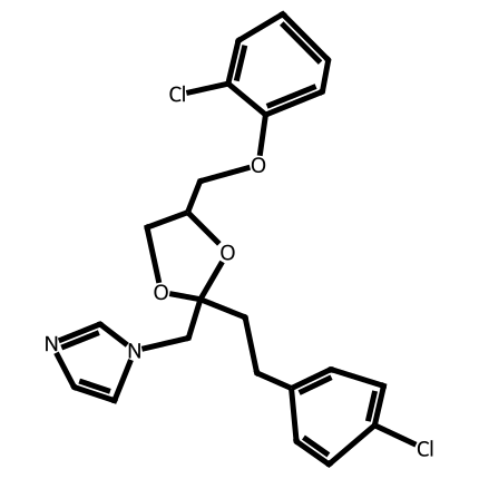 Clc1ccc(CCC2(Cn3ccnc3)OCC(COc3ccccc3Cl)O2)cc1